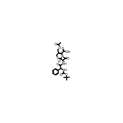 CC(=O)OCC1=C(C(=O)O)N2C(=O)[C@@H](NC(=O)C(NC(=O)OC(C)(C)C)c3ccccc3)[C@H]2SC1